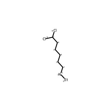 C[CH2][Al][CH2]CCCCC(Cl)Cl